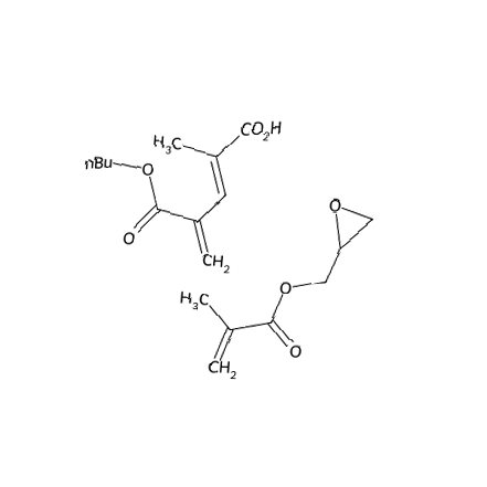 C=C(C)C(=O)OCC1CO1.C=C(C=C(C)C(=O)O)C(=O)OCCCC